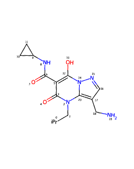 CC(C)Cn1c(=O)c(C(=O)NC2CC2)c(O)n2ncc(CN)c12